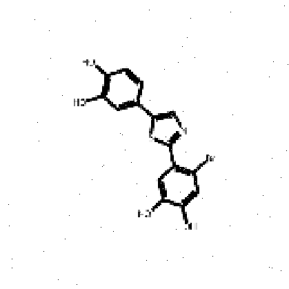 Oc1ccc(-c2cnc(-c3cc(O)c(O)cc3Br)s2)cc1O